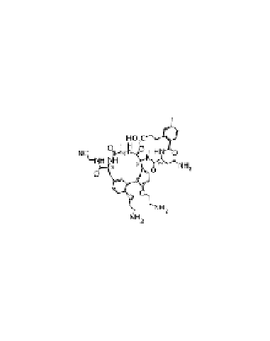 Cc1ccc(C(=O)N[C@@H](CCN)C(=O)N(C)[C@@H]2C(=O)N[C@@H](C)C(=O)N[C@H](C(=O)NCC#N)Cc3ccc(OCCN)c(c3)-c3cc2ccc3OCCN)c(CCC(=O)O)c1